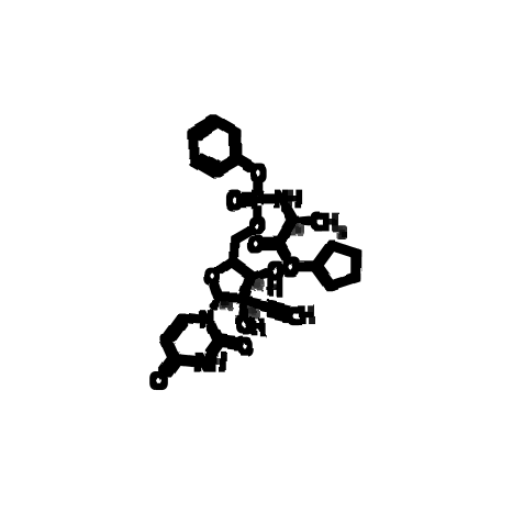 C#C[C@@]1(O)[C@H](O)C(COP(=O)(N[C@@H](C)C(=O)OC2CCCC2)Oc2ccccc2)O[C@H]1n1ccc(=O)[nH]c1=O